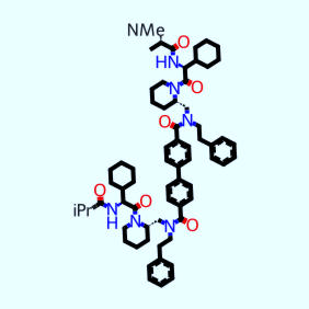 CN[C@@H](C)C(=O)N[C@H](C(=O)N1CCCC[C@H]1CN(CCc1ccccc1)C(=O)c1ccc(-c2ccc(C(=O)N(CCc3ccccc3)C[C@@H]3CCCCN3C(=O)[C@@H](NC(=O)C(C)C)C3CCCCC3)cc2)cc1)C1CCCCC1